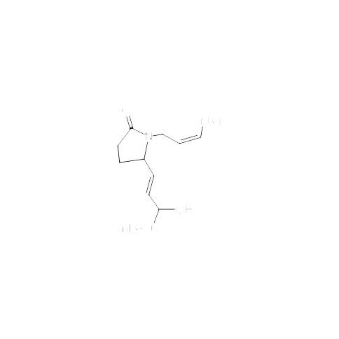 CCCC/C=C\CN1C(=O)CCC1/C=C/C(O)CCCCC